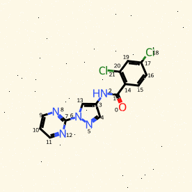 O=C(Nc1cnn(-c2ncccn2)c1)c1ccc(Cl)cc1Cl